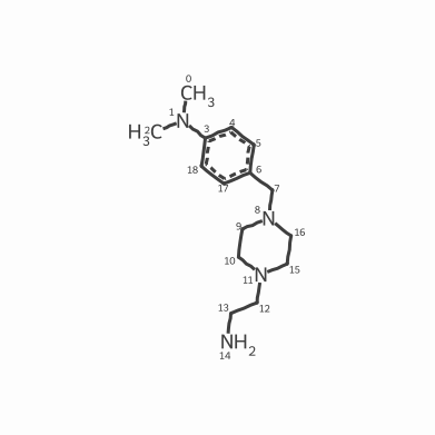 CN(C)c1ccc(CN2CCN(CCN)CC2)cc1